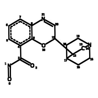 O=NC(=O)c1cccc2c1OC(C1CN3CCC1CC3)C=N2